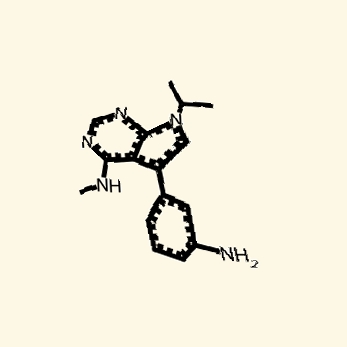 CNc1ncnc2c1c(-c1cccc(N)c1)cn2C(C)C